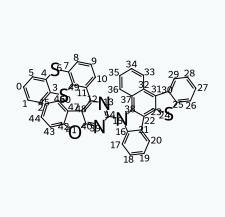 c1ccc2c(c1)Sc1cccc(-c3nc(-n4c5ccccc5c5c6sc7ccccc7c6c6ccccc6c54)nc4oc5ccccc5c34)c1S2